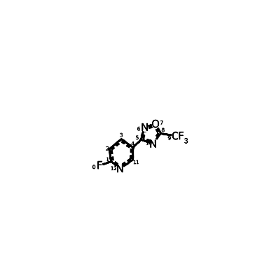 Fc1ccc(-c2noc(C(F)(F)F)n2)cn1